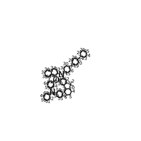 CC1(C)c2ccccc2-c2ccc(N(c3ccc(-c4ccc(-c5ccccc5)cc4)cc3)c3ccc4cccc5c4c3Oc3cc(N(c4ccccc4)c4ccccc4)ccc3-5)cc21